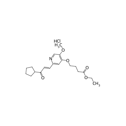 CCOC(=O)CCCOc1cc(C=CC(=O)C2CCCC2)ncc1OC.Cl